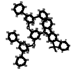 CC1(C)c2ccccc2-c2cc3c4ccccc4n(-c4cc(Oc5nc(-c6ccccc6)cc(-c6ccccc6)n5)cc(Oc5nc(-c6ccccc6)cc(-c6ccccc6)n5)c4)c3cc21